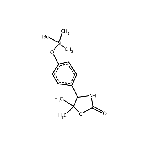 CC1(C)OC(=O)NC1c1ccc(O[Si](C)(C)C(C)(C)C)cc1